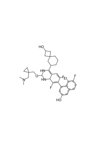 CCc1c(F)ccc2cc(O)cc(C3=C(F)C4NC(OCC5(CN(C)C)CC5)NC(C5CCCC6(CC(O)C6)C5)=C4C=C3F)c12